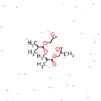 C=C(C)C(=O)OCC1(C)CO1.C=C(C)C(=O)OCC1CO1